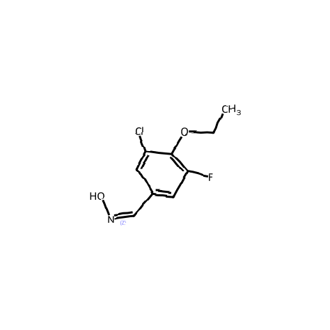 CCOc1c(F)cc(/C=N\O)cc1Cl